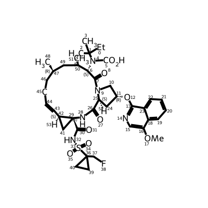 CCC(C)(C)N(C(=O)O)[C@@H]1C(=O)N2C[C@H](Oc3ncc(OC)c4ccccc34)C[C@H]2C(=O)N[C@]2(C(=O)NS(=O)(=O)C3(CF)CC3)C[C@H]2C=CCC[C@@H](C)C[C@H]1C